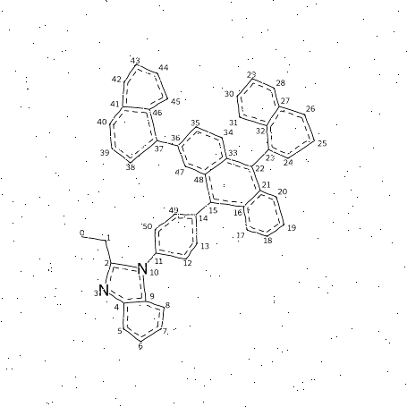 CCc1nc2ccccc2n1-c1ccc(-c2c3ccccc3c(-c3cccc4ccccc34)c3ccc(-c4cccc5ccccc45)cc23)cc1